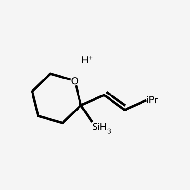 CC(C)C=CC1([SiH3])CCCCO1.[H+]